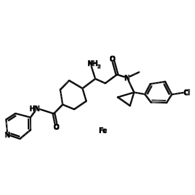 CN(C(=O)CC(N)C1CCC(C(=O)Nc2ccncc2)CC1)C1(c2ccc(Cl)cc2)CC1.[Fe]